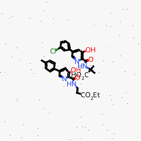 CC(C)(NC(=O)c1ncc(-c2cccc(Cl)c2)cc1O)C(=O)O.CCOC(=O)CCNC(=O)c1ncc(-c2ccc(C)cc2)cc1O